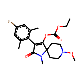 CCOC(=O)OC1=C(c2c(C)cc(Br)cc2C)C(=O)N(C)C12CCN(OC)CC2